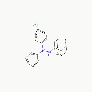 Cl.c1ccc(N(NC23CC4CC(CC(C4)C2)C3)c2ccccc2)cc1